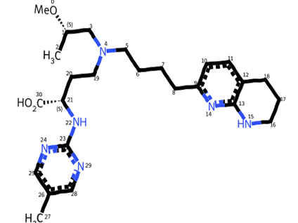 CO[C@@H](C)CN(CCCCc1ccc2c(n1)NCCC2)CC[C@H](Nc1ncc(C)cn1)C(=O)O